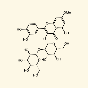 COc1cc(O)c2c(=O)c(O[C@@H]3O[C@H](CO)[C@@H](O)[C@H](O)[C@H]3O[C@@H]3O[C@H](CO)[C@@H](O)[C@H](O)[C@H]3O)c(-c3ccc(O)c(O)c3)oc2c1